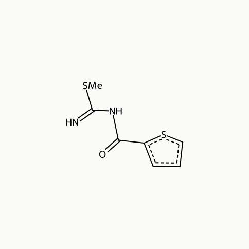 CSC(=N)NC(=O)c1cccs1